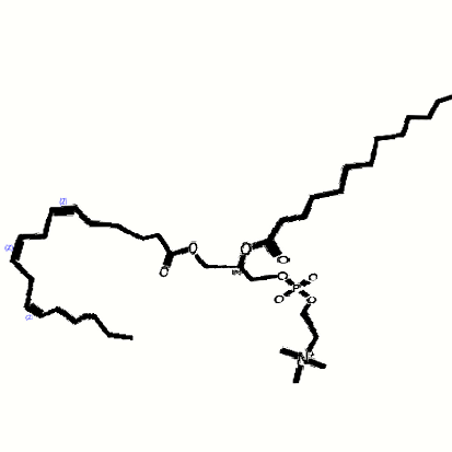 CCCCC/C=C\C/C=C\C/C=C\CCCCC(=O)OC[C@H](COP(=O)([O-])OCC[N+](C)(C)C)OC(=O)CCCCCCCCCCCC